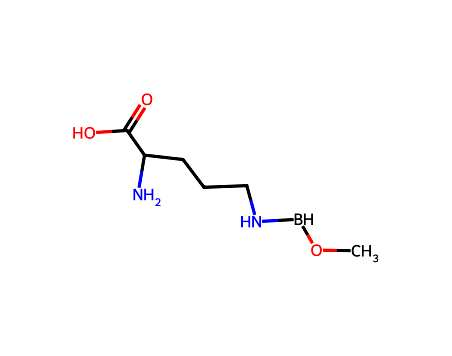 COBNCCCC(N)C(=O)O